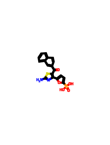 Nc1nc(-c2ccc(P(=O)(O)O)o2)c(C(=O)c2ccc3ccccc3c2)s1